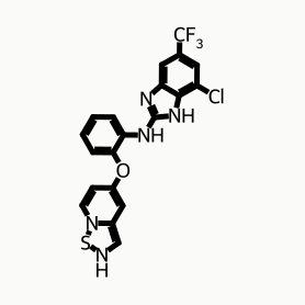 FC(F)(F)c1cc(Cl)c2[nH]c(Nc3ccccc3OC3=CC4=CNSN4C=C3)nc2c1